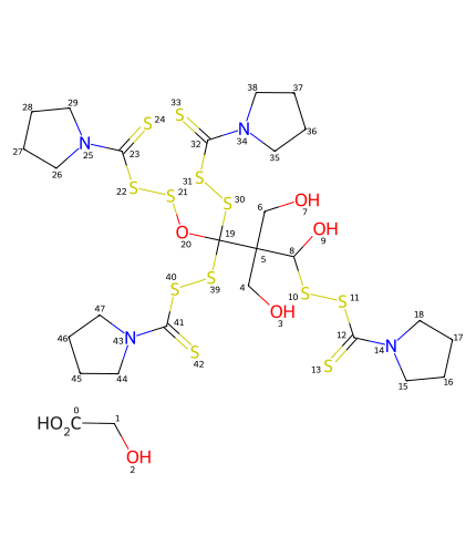 O=C(O)CO.OCC(CO)(C(O)SSC(=S)N1CCCC1)C(OSSC(=S)N1CCCC1)(SSC(=S)N1CCCC1)SSC(=S)N1CCCC1